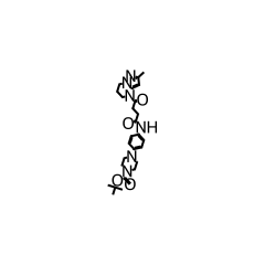 Cc1cc2n(n1)CCCN2C(=O)CCC(=O)Nc1ccc(N2CCN(C(=O)OC(C)(C)C)CC2)cc1